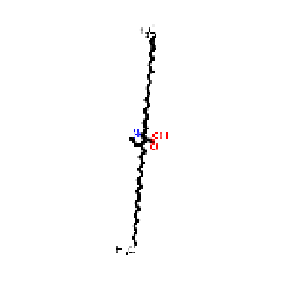 CCCCCCCCCCCCCCCCCCc1ccnc(CCCCCCCCCCCCCCCCCC)c1C(=O)O